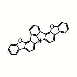 c1ccc2c(c1)oc1c2ccc2c1c1cccc3c4c5oc6ccccc6c5ccc4n2c13